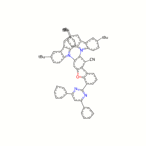 CC(C)(C)c1ccc2c(c1)c1cc(C(C)(C)C)ccc1n2-c1cc2oc3c(-c4nc(-c5ccccc5)cc(-c5ccccc5)n4)cccc3c2c(C#N)c1-n1c2ccc(C(C)(C)C)cc2c2cc(C(C)(C)C)ccc21